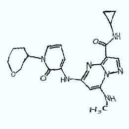 CNc1cc(Nc2cccn(C3CCCOC3)c2=O)nc2c(C(=O)NC3CC3)cnn12